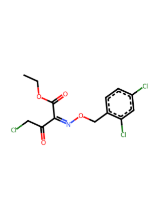 CCOC(=O)C(=NOCc1ccc(Cl)cc1Cl)C(=O)CCl